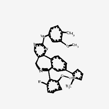 COc1cc(Nc2ncc3c(n2)-c2ccc(-c4cccn4C)cc2C(c2c(F)cccc2OC)=NC3)ccc1C